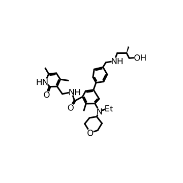 CCN(c1cc(-c2ccc(CNC[C@@H](C)CO)cc2)cc(C(=O)NCc2c(C)cc(C)[nH]c2=O)c1C)C1CCOCC1